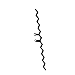 CCCCCCCCCC(=O)CC(=O)CCCCCCCC